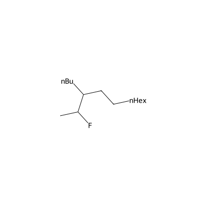 CCCCCCCCC(CCCC)C(C)F